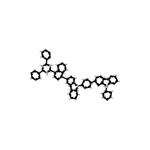 c1ccc(-c2nc(-c3ccccc3)nc(-c3ccc(-c4ccc5c(c4)c4ccccc4n5-c4ccc(-c5ccc6c7ccccc7n(-c7ccccc7)c6c5)cc4)c4ccccc34)n2)cc1